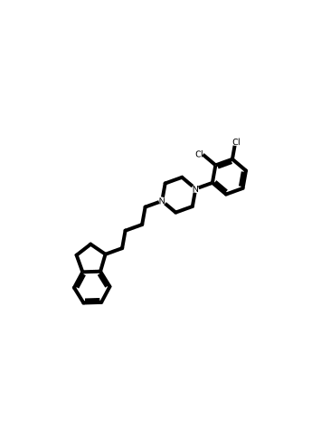 Clc1cccc(N2CCN(CCCCC3CCc4ccccc43)CC2)c1Cl